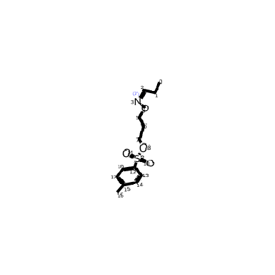 CC/C=N\OCCCOS(=O)(=O)c1ccc(C)cc1